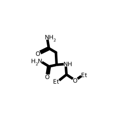 CCOC(CC)NC(CC(N)=O)C(N)=O